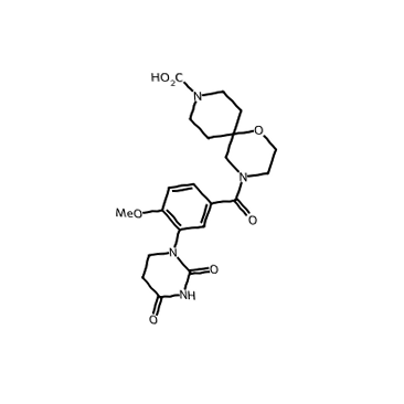 COc1ccc(C(=O)N2CCOC3(CCN(C(=O)O)CC3)C2)cc1N1CCC(=O)NC1=O